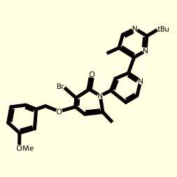 COc1cccc(COc2cc(C)n(-c3ccnc(-c4nc(C(C)(C)C)ncc4C)c3)c(=O)c2Br)c1